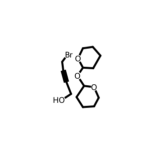 C1CCC(OC2CCCCO2)OC1.OCC#CCBr